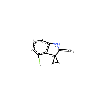 C=C1Nc2cccc(F)c2C12CC2